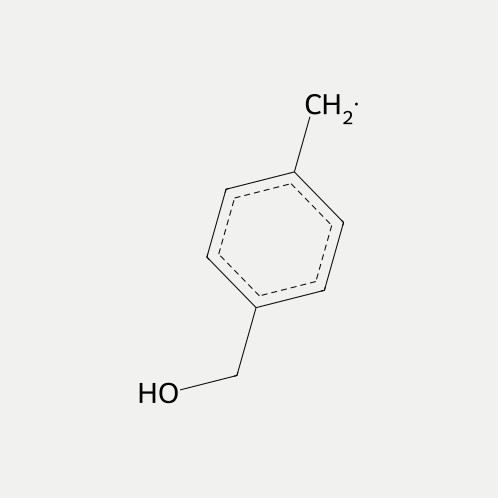 [CH2]c1ccc(CO)cc1